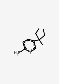 Bc1ccc(C(C)(CC)CC)cn1